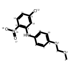 COCOc1ccc(Nc2cc(Cl)ccc2[N+](=O)[O-])cc1